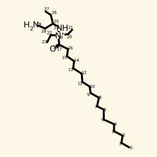 CCCCCCCCCCCCCCCCCC(=O)[N+](CC)(CC)NC(CC)CN